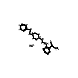 Cl.NC(=O)c1ccccc1NCCN1CCN(CCc2ccccc2)CC1